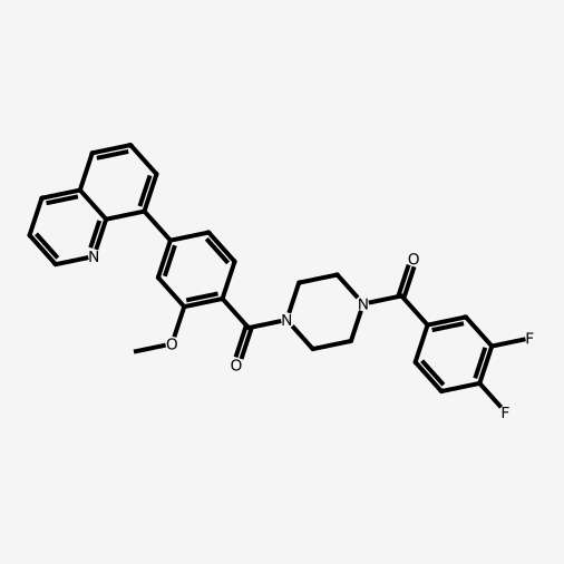 COc1cc(-c2cccc3cccnc23)ccc1C(=O)N1CCN(C(=O)c2ccc(F)c(F)c2)CC1